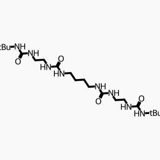 CC(C)(C)NC(=O)NCCNC(=O)NCCCCNC(=O)NCCNC(=O)NC(C)(C)C